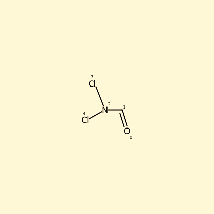 O=CN(Cl)Cl